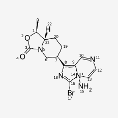 C[C@@H]1OC(=O)N2C[C@H](C3=C4C=NC=C[N+]4(N)C(Br)=N3)CC[C@@H]12